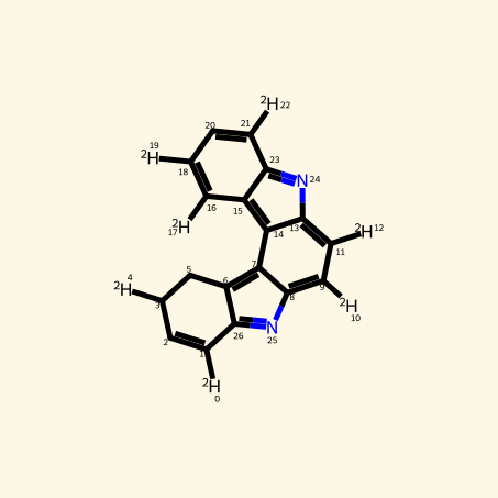 [2H]C1=CC([2H])CC2=c3c(c([2H])c([2H])c4c3=c3c([2H])c([2H])cc([2H])c3=N4)N=C12